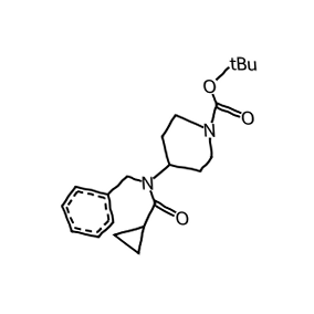 CC(C)(C)OC(=O)N1CCC(N(Cc2ccccc2)C(=O)C2CC2)CC1